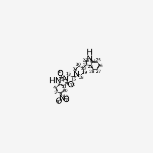 O=c1[nH]c2ccc([N+](=O)[O-])cc2c(=O)n1CCN1CCC(c2c[nH]c3ccccc23)CC1